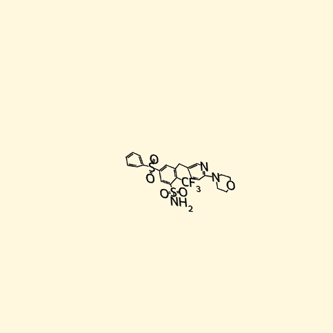 NS(=O)(=O)c1cc(S(=O)(=O)c2ccccc2)cc(Cc2ccc(N3CCOCC3)nc2)c1C(F)(F)F